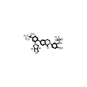 CC(C)(C)c1ccc(-c2ccc3c(c2)CCN(c2ccc(O)c(NS(C)(=O)=O)c2)C3=O)c(N2C[C@H]3COC[C@H]3C2)c1